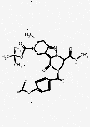 CNC(=O)C1CN(C(C)c2ccc(OC(F)F)cc2)C(=O)c2c3c(nn21)C[C@@H](C)N(C(=O)OC(C)(C)C)C3